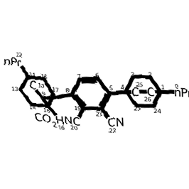 CCCC12CCC(c3ccc(C4CC5(CCC)CCC4(C(=O)O)CC5)c(C#N)c3C#N)(CC1)CC2